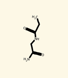 CCC(=O)NCC(N)=O